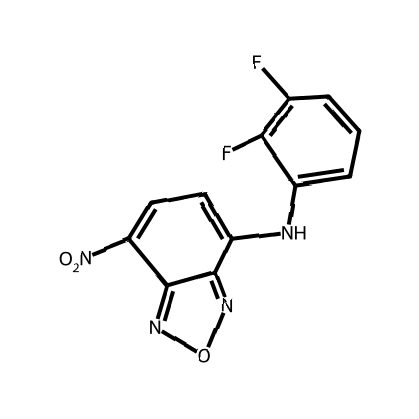 O=[N+]([O-])c1ccc(Nc2cccc(F)c2F)c2nonc12